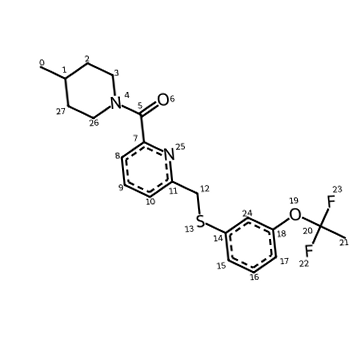 CC1CCN(C(=O)c2cccc(CSc3cccc(OC(C)(F)F)c3)n2)CC1